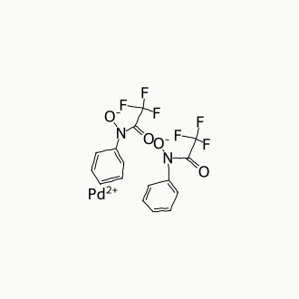 O=C(N([O-])c1ccccc1)C(F)(F)F.O=C(N([O-])c1ccccc1)C(F)(F)F.[Pd+2]